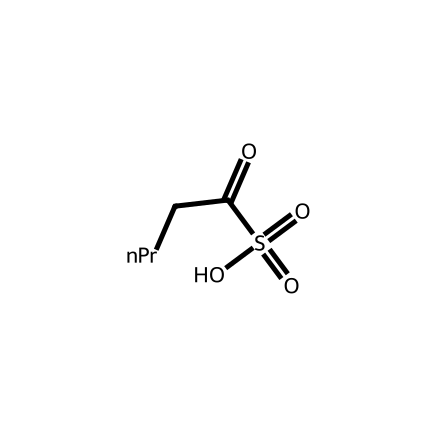 CCCCC(=O)S(=O)(=O)O